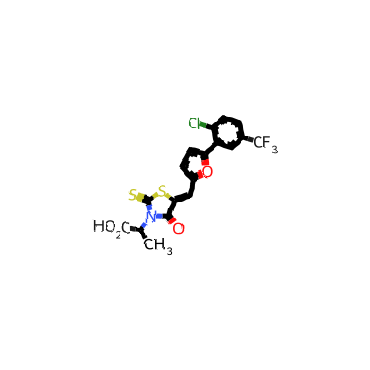 CC(C(=O)O)N1C(=O)C(=Cc2ccc(-c3cc(C(F)(F)F)ccc3Cl)o2)SC1=S